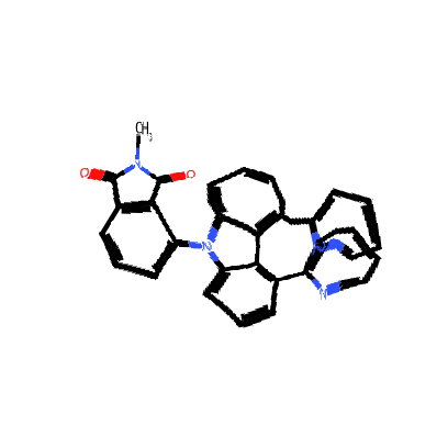 CN1C(=O)c2cccc(-n3c4cccc(-c5ccccn5)c4c4c(-c5ccccn5)cccc43)c2C1=O